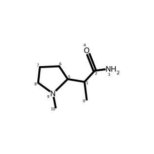 CC(C(N)=O)C1CCCN1C